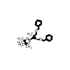 CC1(C)OB(C2[C@H](COCc3ccccc3)[C@]2(C)COCc2ccccc2)OC1(C)C